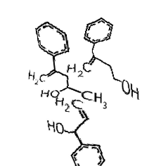 C=C(CC(C)O)c1ccccc1.C=C(CCO)c1ccccc1.C=CC(O)c1ccccc1